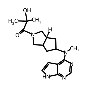 CN(c1ncnc2[nH]ccc12)C1CC2CN(C(=O)C(C)(C)O)C[C@@H]2C1